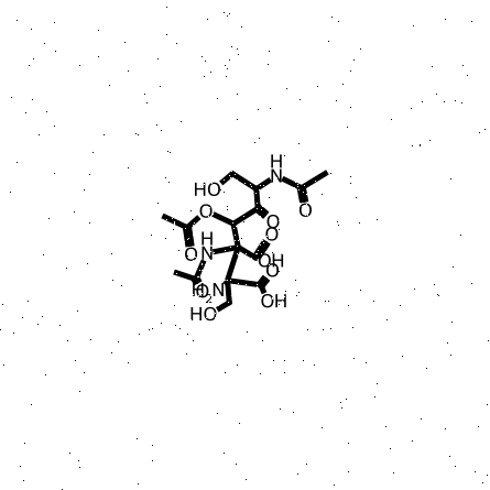 CC(=O)NC(CO)C(=O)C(OC(C)=O)C(NC(C)=O)(C(=O)O)[C@](N)(CO)C(=O)O